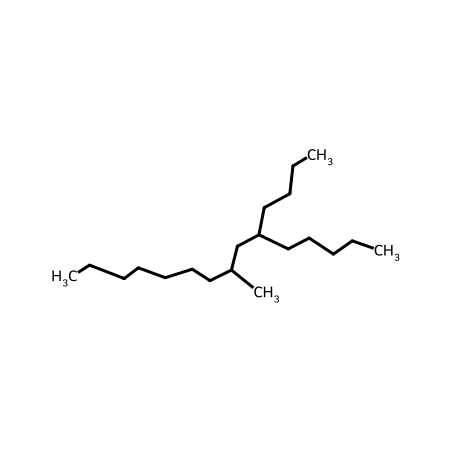 CCCCCCCC(C)CC(CCCC)CCCCC